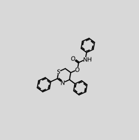 O=C(Nc1ccccc1)OC1CSC(c2ccccc2)=NC1c1ccccc1